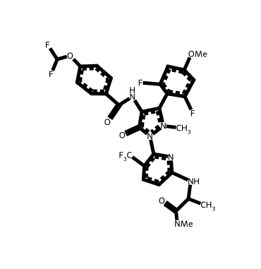 CNC(=O)C(C)Nc1ccc(C(F)(F)F)c(-n2c(=O)c(NC(=O)c3ccc(OC(F)F)cc3)c(-c3c(F)cc(OC)cc3F)n2C)n1